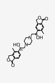 Cc1cc2c(cc1[C@@H](O)CN1CCN(C[C@H](O)c3ccc4c(c3C)COC4=O)CC1)COC2=O